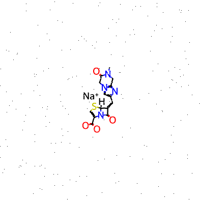 CN1Cc2nc(/C=C3/C(=O)N4C(C(=O)[O-])=CS[C@H]34)cn2CC1=O.[Na+]